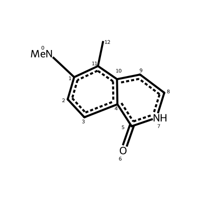 CNc1ccc2c(=O)[nH]ccc2c1C